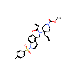 C=CCC1(N(Cc2cccc3c2ccn3S(=O)(=O)c2ccc(C)cc2)C(=O)C=C)CCN(C(=O)OC(C)(C)C)CC1